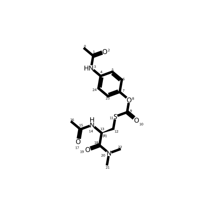 CC(=O)Nc1ccc(OC(=O)SC[C@H](NC(C)=O)C(=O)N(C)C)cc1